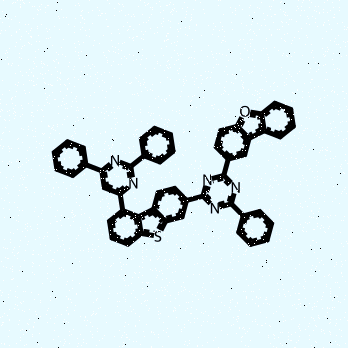 c1ccc(-c2cc(-c3cccc4sc5cc(-c6nc(-c7ccccc7)nc(-c7ccc8oc9ccccc9c8c7)n6)ccc5c34)nc(-c3ccccc3)n2)cc1